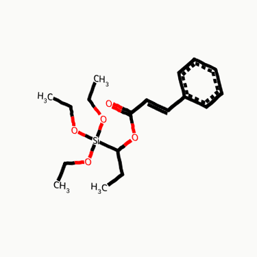 CCO[Si](OCC)(OCC)C(CC)OC(=O)C=Cc1ccccc1